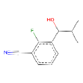 CC(C)C(O)c1cccc(C#N)c1F